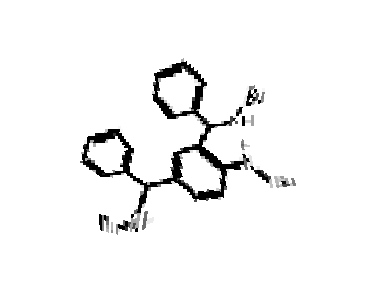 CCC(C)Nc1ccc(C(NC(C)CC)c2ccccc2)cc1C(NC(C)CC)c1ccccc1